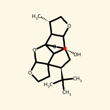 C[C@@H]1COC2C1C13COC4C[C@@H](C(C)(C)C)C5(CCOC5O1)C43[C@H]2O